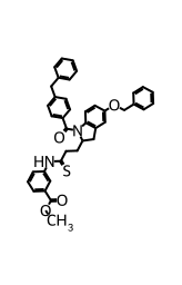 COC(=O)c1cccc(NC(=S)CCC2Cc3cc(OCc4ccccc4)ccc3N2C(=O)c2ccc(Cc3ccccc3)cc2)c1